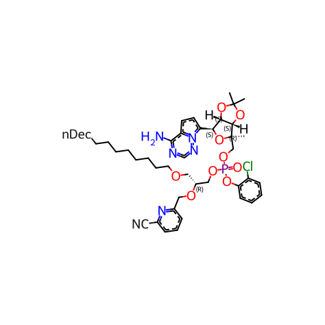 CCCCCCCCCCCCCCCCCCOC[C@H](COP(=O)(OC[C@@]1(C)O[C@@H](c2ccc3c(N)ncnn23)[C@@H]2OC(C)(C)O[C@@H]21)Oc1ccccc1Cl)OCc1cccc(C#N)n1